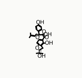 CC(C)=CC[C@]12Oc3cc4c(c(O)c3C(=O)[C@@]1(O)Oc1cc(O)ccc12)C[C@@H](C(C)(C)O)O4